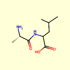 CC(C)CC(NC(=O)[C@H](C)N)C(=O)O